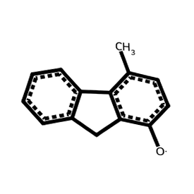 Cc1ccc([O])c2c1-c1ccccc1C2